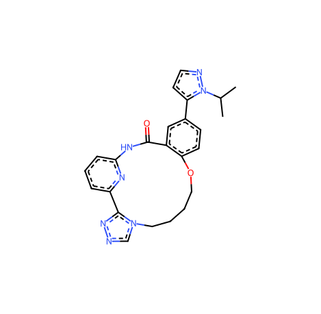 CC(C)n1nccc1-c1ccc2c(c1)C(=O)Nc1cccc(n1)-c1nncn1CCCCO2